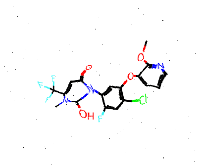 COc1ncccc1Oc1cc(N2C(=O)C=C(C(F)(F)F)N(C)C2O)c(F)cc1Cl